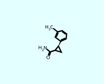 Cc1cccc([C@H]2CC2C(N)=O)c1